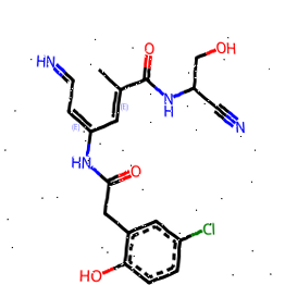 C/C(=C\C(=C/C=N)NC(=O)Cc1cc(Cl)ccc1O)C(=O)NC(C#N)CO